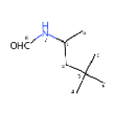 CC(CC(C)(C)C)NC=O